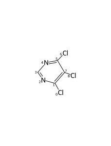 Clc1ncnc(Cl)c1Cl